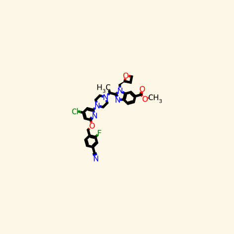 COC(=O)c1ccc2nc(C(C)N3CCN(c4cc(Cl)cc(OCc5ccc(C#N)cc5F)n4)CC3)n(C[C@@H]3CCO3)c2c1